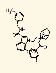 COc1cccc2c(C(=O)NCc3cccc(C)c3)cn(CCCN3C4CCC3CN(CC(=O)c3cccc(Cl)c3)C4)c12